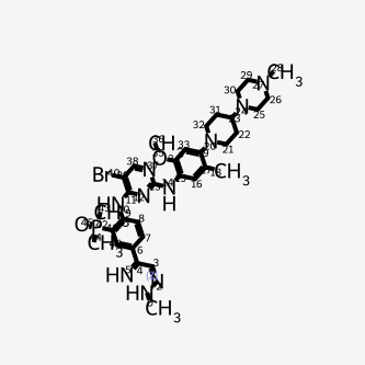 CN/N=C\C(=N)c1ccc(Nc2nc(Nc3cc(C)c(N4CCC(N5CCN(C)CC5)CC4)cc3OC)ncc2Br)c(P(C)(C)=O)c1